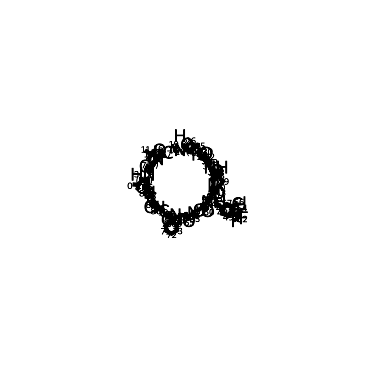 CC[C@H](C)[C@@H]1NC(=O)[C@H](CC(C)C)N(C)C(=O)C[C@@H](C)NC(=O)[C@H](C(C)C)N(C)C(=O)C(C)(C)NC(=O)[C@@H]2CCCN2C(=O)[C@H](CCc2ccc(C(F)(F)F)c(Cl)c2)NC(=O)CN(C)C(=O)[C@H](CC2CCCCC2)N(C)C(=O)CN(C)C(=O)CN(C)C1=O